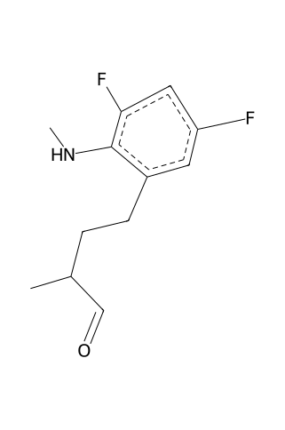 CNc1c(F)cc(F)cc1CCC(C)C=O